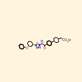 O=C(O)CC1CCC(c2ccc(C(=O)Nc3nnc([C@@H]4CCC[C@@H](Oc5ccccc5)C4)s3)cc2)CC1